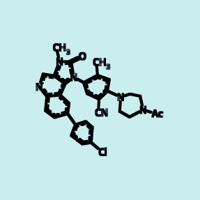 CC(=O)N1CCN(c2cc(C)c(-n3c(=O)n(C)c4cnc5ccc(-c6ccc(Cl)cc6)cc5c43)cc2C#N)CC1